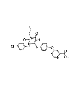 CCCn1c(=O)[nH]/c(=N\c2ccc(Oc3ccnc(C(=O)OC)c3)cc2)n(Cc2ccc(Cl)cc2)c1=O